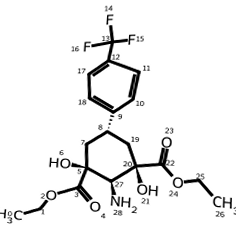 CCOC(=O)[C@]1(O)C[C@H](c2ccc(C(F)(F)F)cc2)C[C@](O)(C(=O)OCC)[C@H]1N